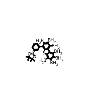 Bc1c(B)c(B)c2c(sc3c(-c4cccc(B5OC(C)(C)C(C)(C)O5)c4)c(B)c(B)c(B)c32)c1B